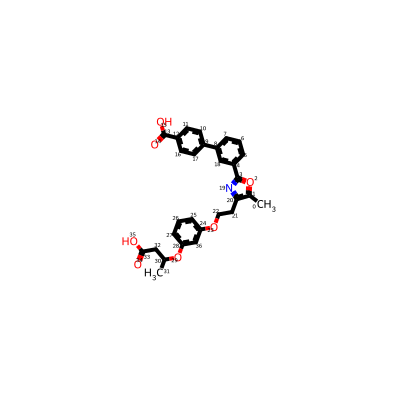 Cc1oc(-c2cccc(-c3ccc(C(=O)O)cc3)c2)nc1CCOc1cccc(OC(C)CC(=O)O)c1